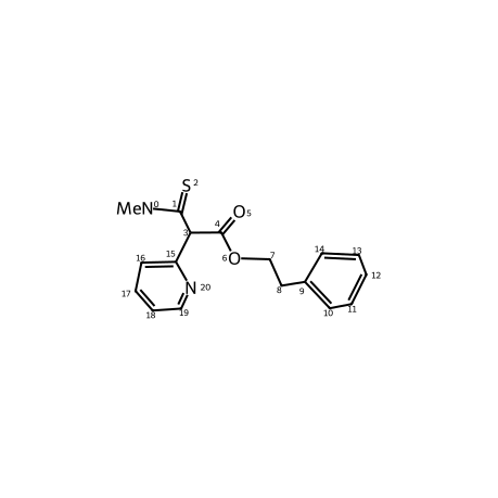 CNC(=S)C(C(=O)OCCc1ccccc1)c1ccccn1